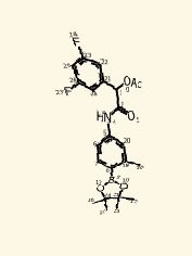 CC(=O)OC(C(=O)Nc1ccc(B2OC(C)(C)C(C)(C)O2)c(C)c1)c1cc(F)cc(F)c1